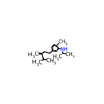 C=C(CCc1ccc(C)c(NC(C)C)c1)C(C)C